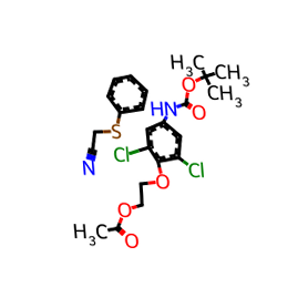 CC(=O)OCCOc1c(Cl)cc(NC(=O)OC(C)(C)C)cc1Cl.N#CCSc1ccccc1